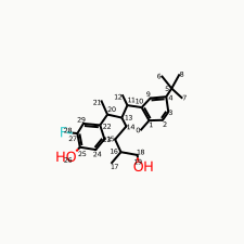 Cc1ccc(C(C)(C)C)cc1C(C)C(CCC(C)CO)C(C)c1ccc(O)c(F)c1